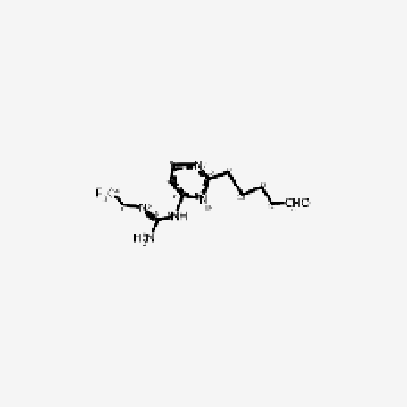 NC(=NCC(F)(F)F)Nc1ccnc(CCCCC=O)n1